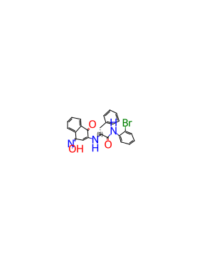 O=C1C(N[C@H](Cc2ccccc2)C(=O)Nc2ccccc2Br)=CC(=NO)c2ccccc21